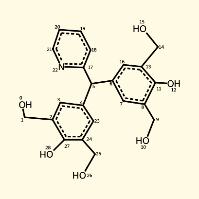 OCc1cc(C(c2cc(CO)c(O)c(CO)c2)c2ccccn2)cc(CO)c1O